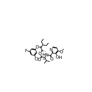 CCC(CC)[C@@H](Oc1cc(F)cc(Cl)c1)[C@H](C)OC(=O)[C@@H](NC(=O)c1nccc(OC)c1O)C(C)C